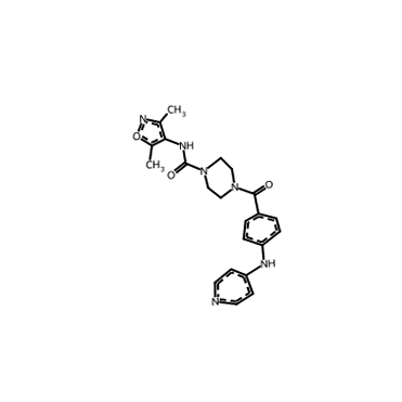 Cc1noc(C)c1NC(=O)N1CCN(C(=O)c2ccc(Nc3ccncc3)cc2)CC1